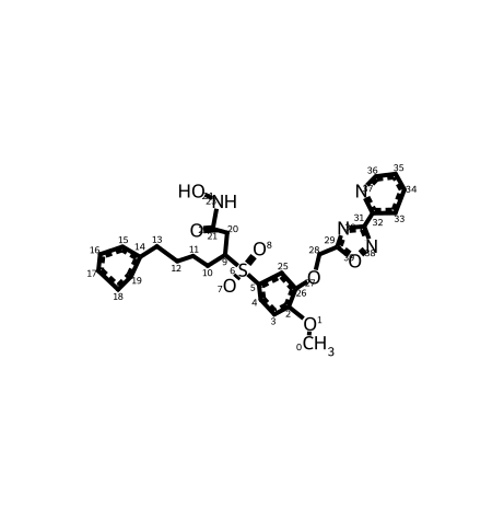 COc1ccc(S(=O)(=O)C(CCCCc2ccccc2)CC(=O)NO)cc1OCc1nc(-c2ccccn2)no1